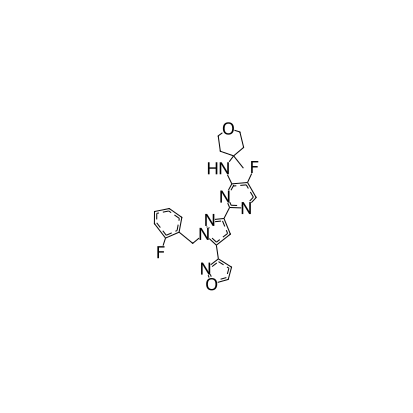 CC1(Nc2nc(-c3cc(-c4ccon4)n(Cc4ccccc4F)n3)ncc2F)CCOCC1